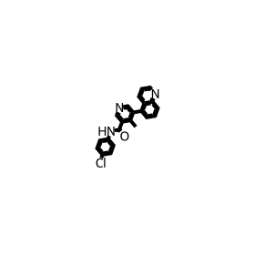 Cc1c(C(=O)Nc2ccc(Cl)cc2)cncc1-c1cccc2ncccc12